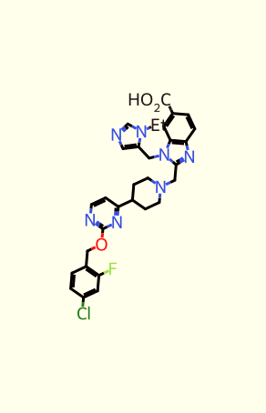 CCn1cncc1Cn1c(CN2CCC(c3ccnc(OCc4ccc(Cl)cc4F)n3)CC2)nc2ccc(C(=O)O)cc21